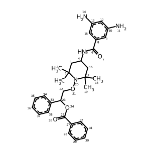 CC1(C)CC(NC(=O)c2cc(N)cc(N)c2)CC(C)(C)N1OCC(OC(=O)c1ccccc1)c1ccccc1